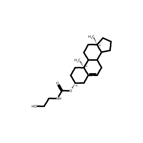 C[C@]12CCCC1C1CC=C3C[C@H](OC(=O)NCCO)CC[C@@]3(C)C1CC2